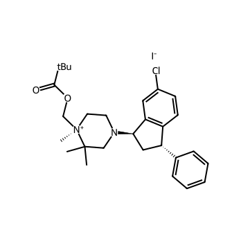 CC(C)(C)C(=O)OC[N@@+]1(C)CCN([C@@H]2C[C@@H](c3ccccc3)c3ccc(Cl)cc32)CC1(C)C.[I-]